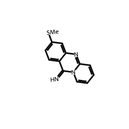 CSc1ccc2c(=N)n3ccccc3nc2c1